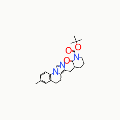 Cc1ccc2c(c1)CCc1c(CC3CCCN(C(=O)OC(C)(C)C)C3=O)ncn1-2